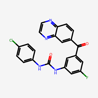 O=C(Nc1ccc(Cl)cc1)Nc1cc(F)cc(C(=O)c2ccc3nccnc3c2)c1